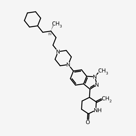 C=C1NC(=O)CCC1c1nn(C)c2cc(N3CCN(CC[C@@H](C)CC4CCCCC4)CC3)ccc12